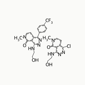 Cn1ccc2c(-c3ccc(C(F)(F)F)cc3)nnc(NCCO)c2c1=O.Cn1ccc2c(Cl)nnc(NCCO)c2c1=O